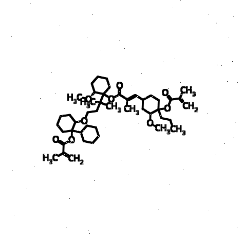 C=C(C)C(=O)OC1(CCC)CCC(/C=C(\C)C(=O)OC2(C(C)(C)CCOC3CCCCC3(OC(=O)C(=C)C)C3CCCCC3)CCCCC2OC)CC1OC